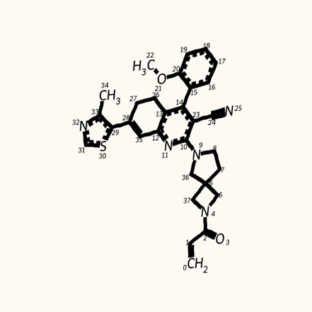 C=CC(=O)N1CC2(CCN(c3nc4c(c(-c5ccccc5OC)c3C#N)CCC(c3scnc3C)=C4)C2)C1